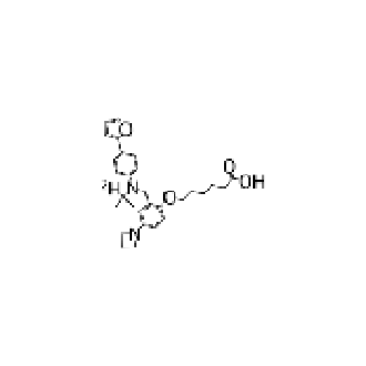 [2H]C(C)(C)N(Cc1cc(N2CCC2)ccc1OCCCCCC(=O)O)c1ccc(-c2ccco2)cc1